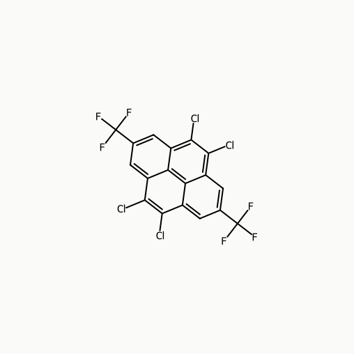 FC(F)(F)c1cc2c(Cl)c(Cl)c3cc(C(F)(F)F)cc4c(Cl)c(Cl)c(c1)c2c34